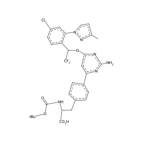 Cc1ccn(-c2cc(Cl)ccc2C(Oc2cc(-c3ccc(CC(NC(=O)OC(C)(C)C)C(=O)O)cc3)nc(N)n2)C(F)(F)F)n1